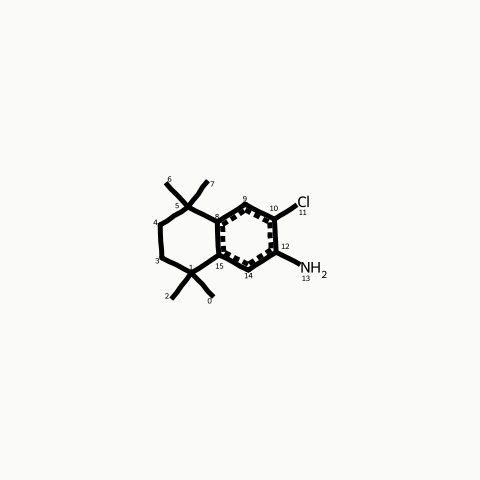 CC1(C)CCC(C)(C)c2cc(Cl)c(N)cc21